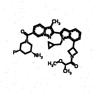 CO[C@H](C)C(=O)N1CC(c2cccc3cc(-c4nn5cc(C(=O)N6C[C@H](N)C[C@@H](F)C6)ccc5c4C)n(CC4CC4)c23)C1